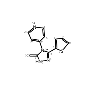 O=c1[nH]nc(-c2cccs2)n1-c1ccncc1